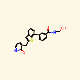 O=C(NCCO)c1cccc(-c2cccc3cc(Cc4ccc[nH]c4=O)sc23)c1